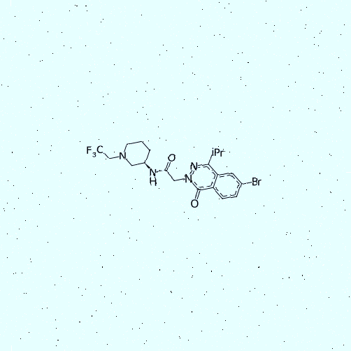 CC(C)c1nn(CC(=O)N[C@@H]2CCCN(CC(F)(F)F)C2)c(=O)c2ccc(Br)cc12